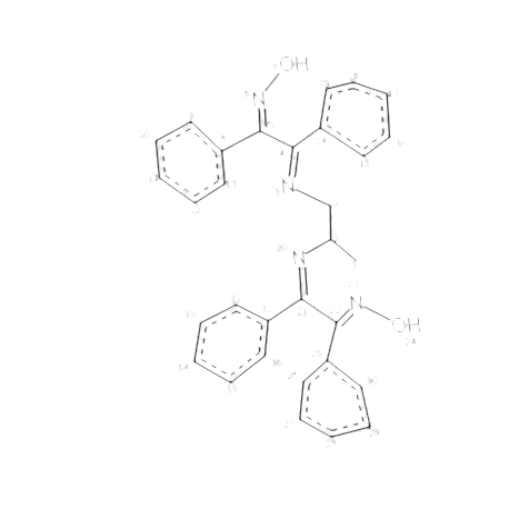 CC(CN=C(C(=NO)c1ccccc1)c1ccccc1)N=C(C(=NO)c1ccccc1)c1ccccc1